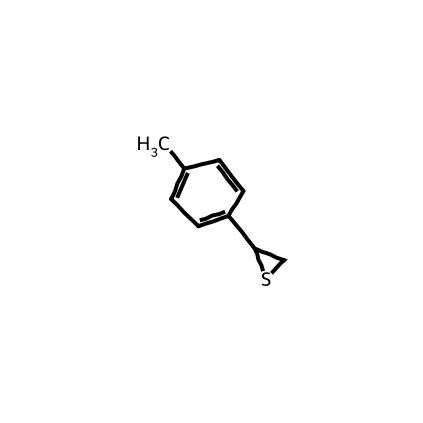 Cc1ccc(C2CS2)cc1